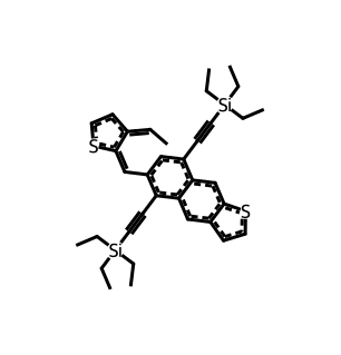 C/C=c1/ccs/c1=C/c1cc(C#C[Si](CC)(CC)CC)c2cc3sccc3cc2c1C#C[Si](CC)(CC)CC